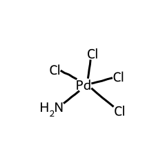 [NH2][Pd]([Cl])([Cl])([Cl])[Cl]